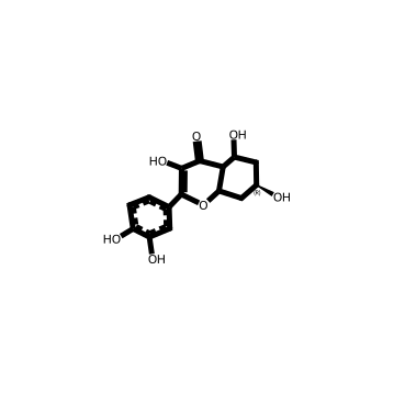 O=C1C(O)=C(c2ccc(O)c(O)c2)OC2C[C@H](O)CC(O)C12